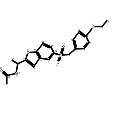 CCOc1ccc(CS(=O)(=O)c2ccc3oc(C(C)NC(C)=O)cc3c2)cc1